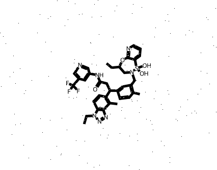 CCC1CN(Cc2cc(C(CC(=O)Nc3cncc(C(F)(F)F)c3)c3ccc4c(nnn4CC)c3C)ccc2C)S(O)(O)c2cccnc2O1